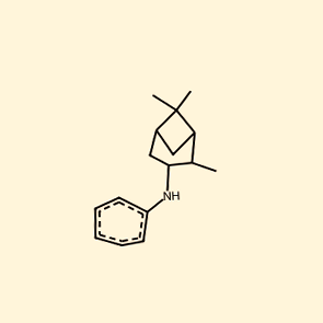 CC1C(Nc2ccccc2)CC2CC1C2(C)C